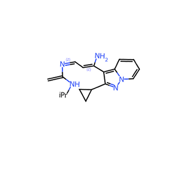 C=C(/N=C\C=C(/N)c1c(C2CC2)nn2ccccc12)NC(C)C